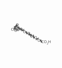 O=C(O)CCOCCOCCOCCOCCOCCOCCN1C(=O)C=C(Cl)S1(=O)=O